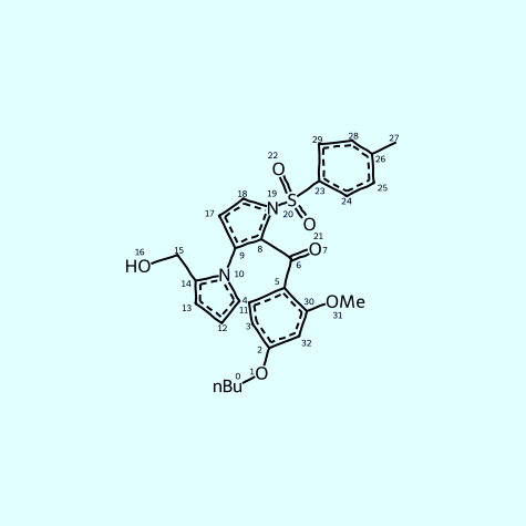 CCCCOc1ccc(C(=O)c2c(-n3cccc3CO)ccn2S(=O)(=O)c2ccc(C)cc2)c(OC)c1